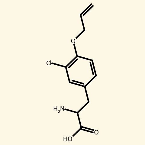 C=CCOc1ccc(CC(N)C(=O)O)cc1Cl